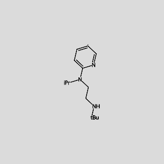 CC(C)N(CCNC(C)(C)C)c1cc[c]cn1